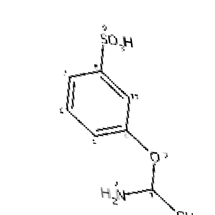 CC(N)Oc1cccc(S(=O)(=O)O)c1